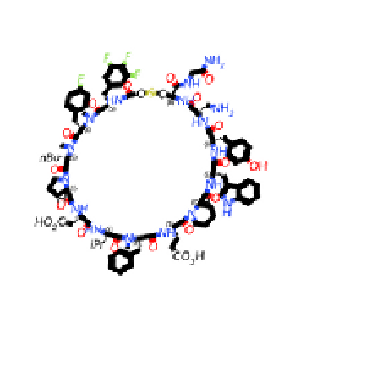 CCCC[C@H]1C(=O)N2CCC[C@@H]2C(=O)N[C@@H](CC(=O)O)C(=O)N[C@@H](C(C)C)C(=O)N(C)[C@@H](Cc2ccccc2)C(=O)N[C@@H](CCC(=O)O)C(=O)N2CCCC[C@@H]2C(=O)N[C@@H](Cc2c[nH]c3ccccc23)C(=O)N[C@@H](Cc2ccc(O)cc2)C(=O)N[C@@H](CN)C(=O)N[C@H](C(=O)NCC(N)=O)CSCC(=O)N[C@@H](Cc2cc(F)c(F)c(F)c2)C(=O)N(C)[C@@H](Cc2ccc(F)cc2)C(=O)N1C